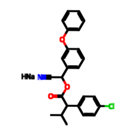 CC(C)C(C(=O)OC(C#N)c1cccc(Oc2ccccc2)c1)c1ccc(Cl)cc1.[NaH]